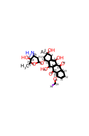 CC(=O)[C@]1(O)Cc2c(O)c3c(c(O)c2[C@@H](OC2CC(N)C(O)C(C)O2)C1)C(=O)c1c(OCI)cccc1C3=O